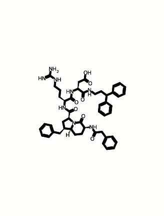 N=C(N)NCCC[C@H](NC(=O)[C@@H]1C[C@H](Cc2ccccc2)[C@@H]2CC[C@H](NC(=O)Cc3ccccc3)C(=O)N12)C(=O)N[C@@H](CC(=O)O)C(=O)NCCC(c1ccccc1)c1ccccc1